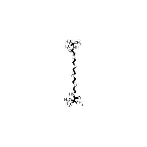 CC(C)(C)NC(=O)COCCOCCOCCOCCNC(=O)C(C)(C)C